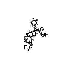 O=C(NO)[C@@H]1[C@H](c2ccccc2)[C@H]1c1ccc2c(c1)CN(CC(F)(F)F)CCO2